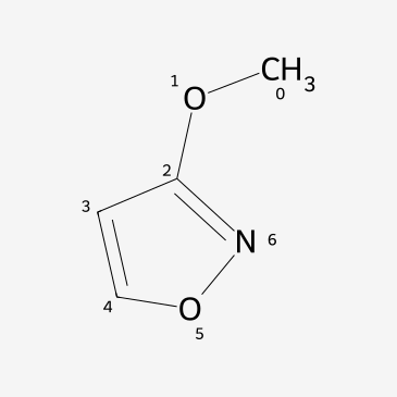 COc1ccon1